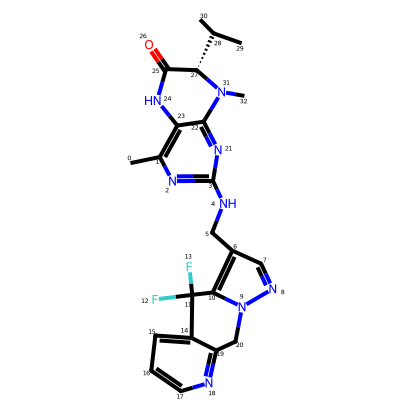 Cc1nc(NCc2cnn3c2C(F)(F)c2cccnc2C3)nc2c1NC(=O)[C@H](C(C)C)N2C